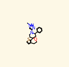 Cn1cc(N2CCC3(CC2c2ccccc2)OCCc2ccsc23)nn1